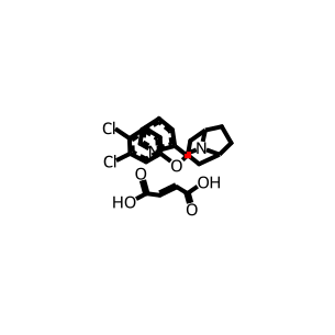 Clc1ccc(OC2CC3CCC(C2)N3Cc2ccccn2)cc1Cl.O=C(O)C=CC(=O)O